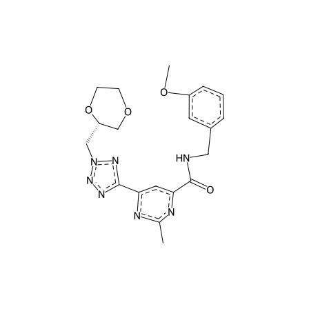 COc1cccc(CNC(=O)c2cc(-c3nnn(C[C@H]4COCCO4)n3)nc(C)n2)c1